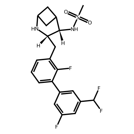 CS(=O)(=O)N[C@H]1C2CC(C2)N[C@H]1Cc1cccc(-c2cc(F)cc(C(F)F)c2)c1F